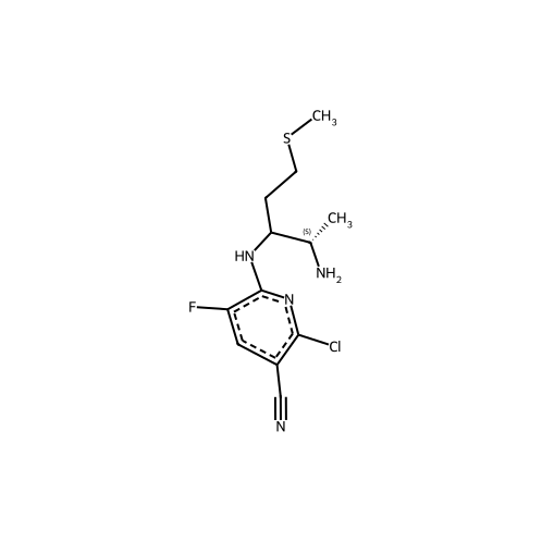 CSCCC(Nc1nc(Cl)c(C#N)cc1F)[C@H](C)N